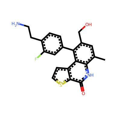 Cc1cc(CO)c(-c2ccc(CCN)c(F)c2)c2c1[nH]c(=O)c1sccc12